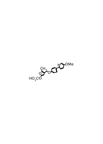 COc1ccc(-c2ccc(OCc3cc(OC(=O)O)oc3C)cc2)nc1